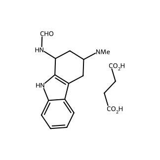 CNC1Cc2c([nH]c3ccccc23)C(NC=O)C1.O=C(O)CCC(=O)O